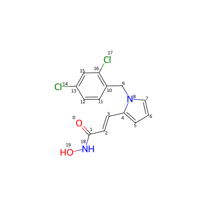 O=C(C=Cc1cccn1Cc1ccc(Cl)cc1Cl)NO